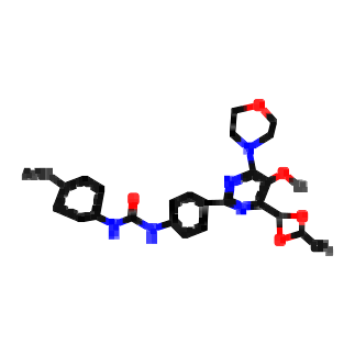 CCOc1c(C2OC(C)O2)nc(-c2ccc(NC(=O)Nc3ccc(NC(C)=O)cc3)cc2)nc1N1CCOCC1